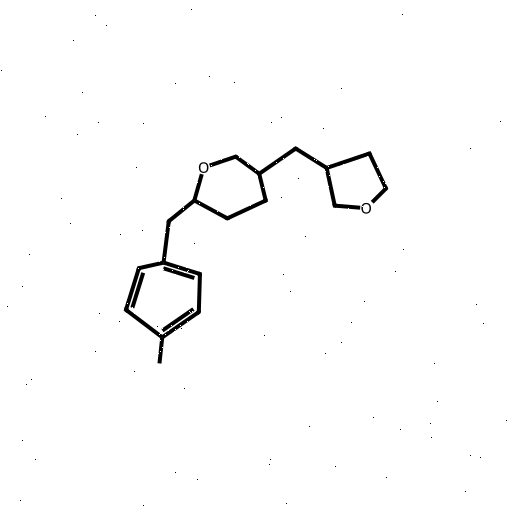 Cc1ccc(CC2CCC(CC3CCOC3)CO2)cc1